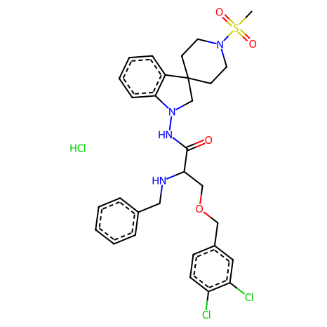 CS(=O)(=O)N1CCC2(CC1)CN(NC(=O)C(COCc1ccc(Cl)c(Cl)c1)NCc1ccccc1)c1ccccc12.Cl